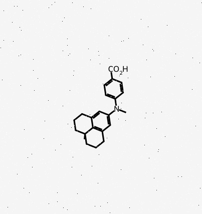 CN(c1ccc(C(=O)O)cc1)c1cc2c3c(c1)CCCC3(C)CCC2